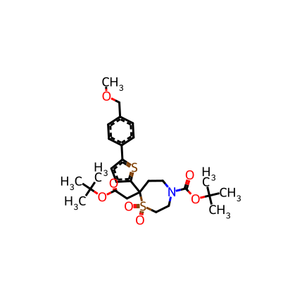 COCc1ccc(-c2ccc(C3(CC(=O)OC(C)(C)C)CCN(C(=O)OC(C)(C)C)CCS3(=O)=O)s2)cc1